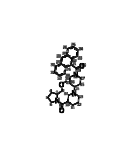 COCC1CCCN1C(=O)C1CCCN(C2CCN(C(=O)c3c4ccccc4cc4ccccc34)CC2)C1